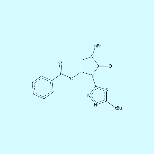 CCCN1CC(OC(=O)c2ccccc2)N(c2nnc(C(C)(C)C)s2)C1=O